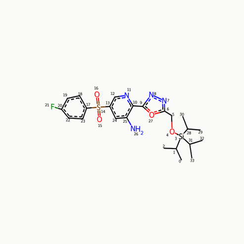 CC(C)[Si](OCc1nnc(-c2ncc(S(=O)(=O)c3ccc(F)cc3)cc2N)o1)(C(C)C)C(C)C